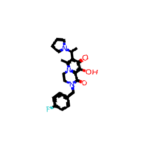 Cc1c(C(C)N2CCCC2)c(=O)c(O)c2n1CCN(Cc1ccc(F)cc1)C2=O